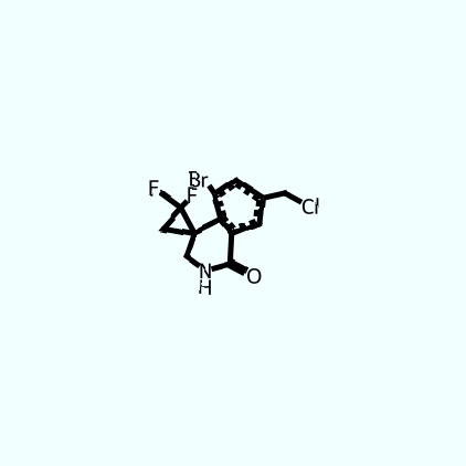 O=C1NCC2(CC2(F)F)c2c(Br)cc(CCl)cc21